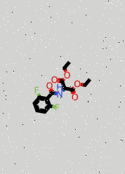 CCOC(=O)C(NC(=O)c1c(F)cccc1F)C(=O)OCC